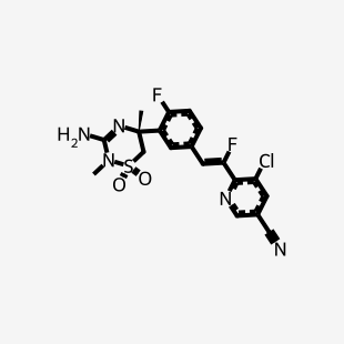 CN1C(N)=N[C@](C)(c2cc(/C=C(\F)c3ncc(C#N)cc3Cl)ccc2F)CS1(=O)=O